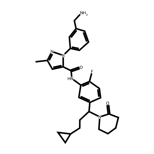 Cc1cc(C(=O)Nc2cc(C(CCC3CC3)N3CCCCC3=O)ccc2F)n(-c2cccc(CN)c2)n1